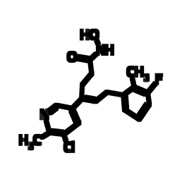 Cc1ncc(/C(=C/Cc2cccc(F)c2C)CCC(=O)NO)cc1Cl